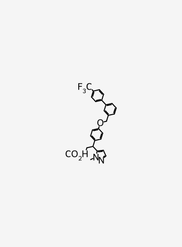 Cn1nccc1C(CC(=O)O)c1ccc(OCc2cccc(-c3ccc(C(F)(F)F)cc3)c2)cc1